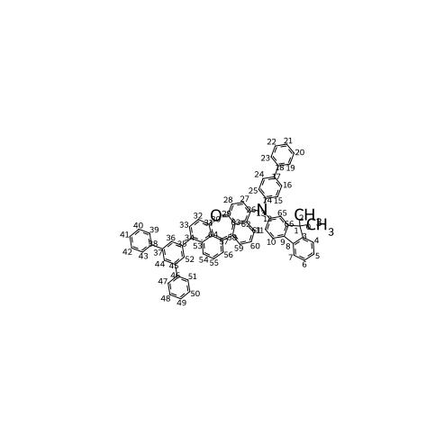 CC1(C)c2ccccc2-c2ccc(N(c3ccc(-c4ccccc4)cc3)c3ccc4oc5ccc(-c6cc(-c7ccccc7)cc(-c7ccccc7)c6)c6cccc(c7cccc3c47)c56)cc21